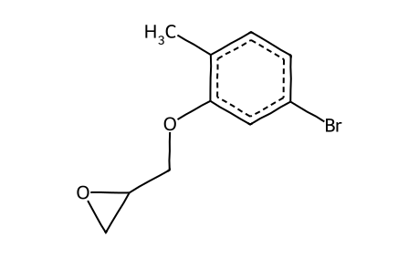 Cc1ccc(Br)cc1OCC1CO1